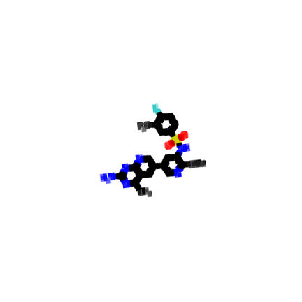 COc1ncc(-c2cnc3nc(N)nc(C)c3c2)cc1NS(=O)(=O)c1ccc(F)c(C(F)(F)F)c1